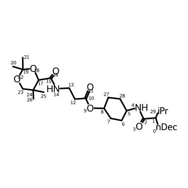 CCCCCCCCCCC(C(=O)NC1CCC(OC(=O)CCNC(=O)C2OC(C)(C)OCC2(C)C)CC1)C(C)C